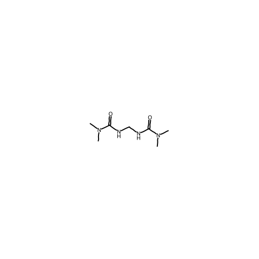 CN(C)C(=O)NCNC(=O)N(C)C